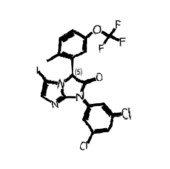 Cc1ccc(OC(F)(F)F)cc1[C@H]1C(=O)N(c2cc(Cl)cc(Cl)c2)c2ncc(I)n21